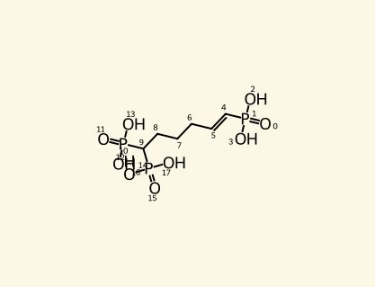 O=P(O)(O)C=CCCCC(P(=O)(O)O)P(=O)(O)O